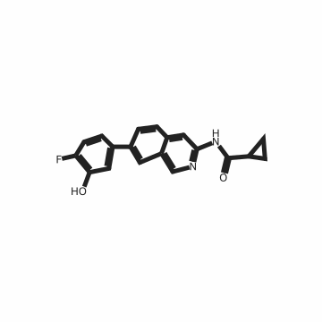 O=C(Nc1cc2ccc(-c3ccc(F)c(O)c3)cc2cn1)C1CC1